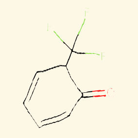 O=C1C=CC=CC1C(F)(F)F